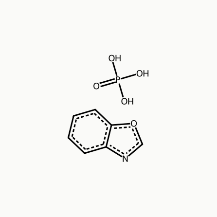 O=P(O)(O)O.c1ccc2ocnc2c1